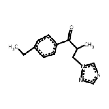 CCc1ccc(C(=O)C(C)Cn2cncn2)cc1